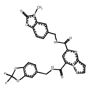 Cn1c(=O)oc2ccc(CNC(=O)c3cc(C(=O)NCc4ccc5c(c4)OC(F)(F)O5)n4nccc4n3)cc21